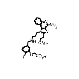 COCCc1nc2c(N)nc3ccccc3c2n1CCCNCc1ccc(F)c(OCC(=O)O)c1